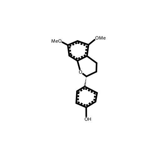 COc1cc(OC)c2c(c1)O[C@@H](c1ccc(O)cc1)CC2